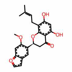 COc1cc2occc2cc1[C@@H]1CC(=O)c2c(O)cc(O)c(CC=C(C)C)c2O1